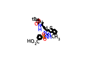 Cc1cccc(C)c1-c1cc(C#CC(CC(C)(C)C)NC(=O)OC(C)(C)C)nc(NS(=O)(=O)c2cccc(C(=O)O)c2)n1